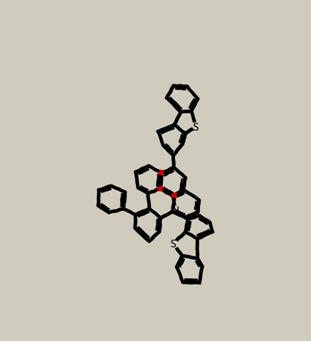 c1ccc(-c2ccccc2-c2c(-c3ccccc3)cccc2N(c2ccc(-c3ccc4c(c3)sc3ccccc34)cc2)c2cccc3c2sc2ccccc23)cc1